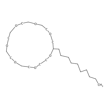 CCCCCCCCCCC1COCCOCCOCCOCCOCCOCCO1